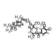 CCOC(=O)c1c2c(nn1CCN[C@@H](C)c1ncn(S(=O)(=O)N(C)C)n1)C[C@@H](C)N(C(=O)c1ccc(Cl)c(Cl)c1)C2